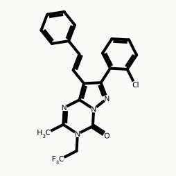 Cc1nc2c(C=Cc3ccccc3)c(-c3ccccc3Cl)nn2c(=O)n1CC(F)(F)F